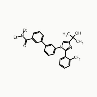 CCN(CC)C(=O)c1cccc(-c2cccc(-n3cc(C(C)(C)O)nc3-c3ccccc3C(F)(F)F)c2)c1